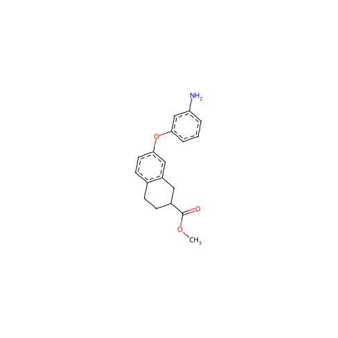 COC(=O)C1CCc2ccc(Oc3cccc(N)c3)cc2C1